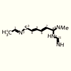 C/C=N/S/C=C/C=C/C(NC)NC=N